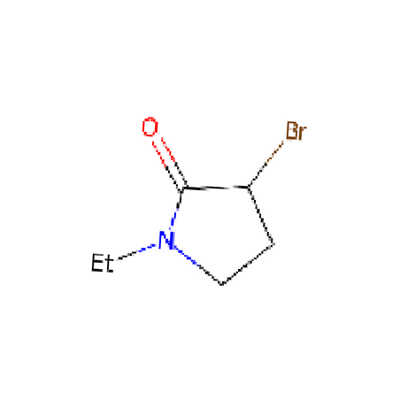 CCN1CCC(Br)C1=O